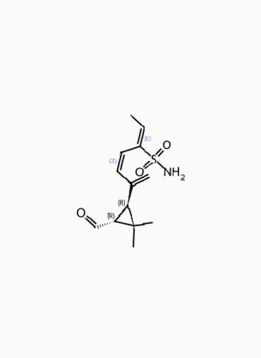 C=C(/C=C\C(=C/C)S(N)(=O)=O)[C@@H]1[C@@H](C=O)C1(C)C